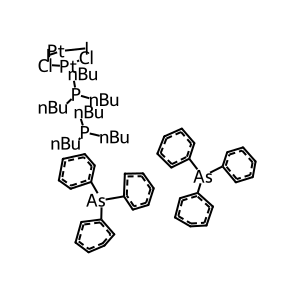 CCCCP(CCCC)CCCC.CCCCP(CCCC)CCCC.[Cl][Pt][Cl].[I][Pt][I].c1ccc([As](c2ccccc2)c2ccccc2)cc1.c1ccc([As](c2ccccc2)c2ccccc2)cc1